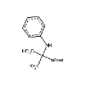 CCCCCC(Nc1ccccc1)(C(=O)O)C(=O)O